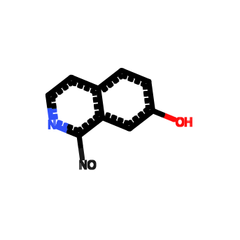 O=Nc1nccc2ccc(O)cc12